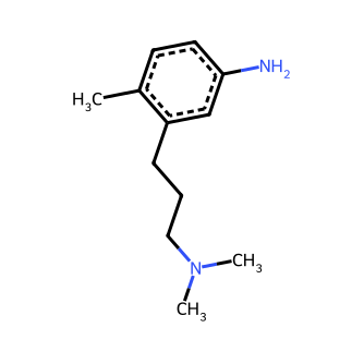 Cc1ccc(N)cc1CCCN(C)C